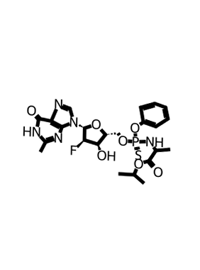 Cc1nc2c(ncn2[C@@H]2O[C@H](COP(=S)(NC(C)C(=O)OC(C)C)Oc3ccccc3)[C@@H](O)[C@H]2F)c(=O)[nH]1